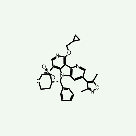 Cc1noc(C)c1-c1cnc2c3c(OCC4CC4)ncc(S(C)(=O)=O)c3n([C@H](c3ccccc3)C3CCOCC3)c2c1